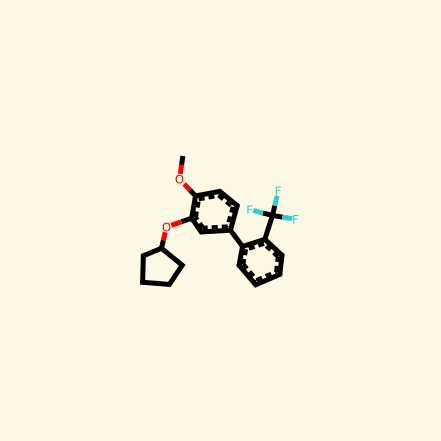 COc1ccc(-c2ccccc2C(F)(F)F)cc1OC1CCCC1